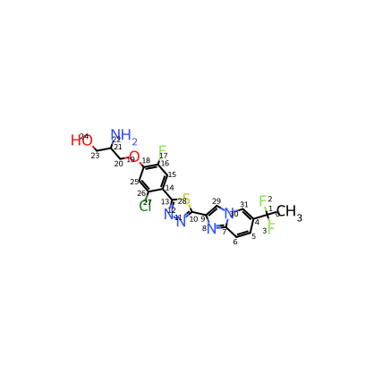 CC(F)(F)c1ccc2nc(-c3nnc(-c4cc(F)c(OCC(N)CO)cc4Cl)s3)cn2c1